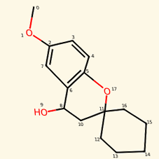 COc1ccc2c(c1)C(O)CC1(CCCCC1)O2